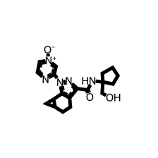 O=C(NC1(CO)CCCC1)c1nn(-c2c[n+]([O-])ccn2)c2c1CCC1CC21